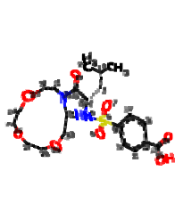 CC(C)C[C@H](NS(=O)(=O)c1ccc(C(=O)O)cc1)C(=O)N1CCOCCOCCOCC1